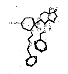 C[C@H]1CC[C@](C)([C@H]2CC[C@]3(C)C(=O)CC[C@H]3[C@@H]2OCc2ccccc2)[C@@H](CCOCc2ccccc2)C1